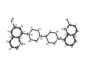 Cc1ccc2cccc(N3CCC(N4CCN(c5cc(F)cc6cccnc56)CC4)CC3)c2n1